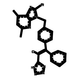 CCc1nc2c(C)cc(C)nc2n1Cc1ccc(C(=C(Cl)c2nnn[nH]2)c2ccccc2)cc1